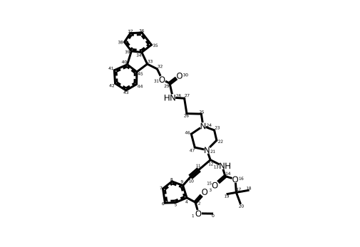 COC(=O)c1ccccc1C#CC(NC(=O)OC(C)(C)C)N1CCN(CCCNC(=O)OCC2c3ccccc3-c3ccccc32)CC1